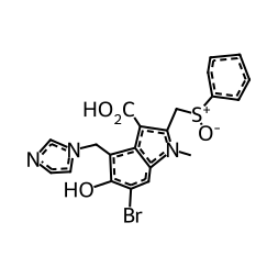 Cn1c(C[S+]([O-])c2ccccc2)c(C(=O)O)c2c(Cn3ccnc3)c(O)c(Br)cc21